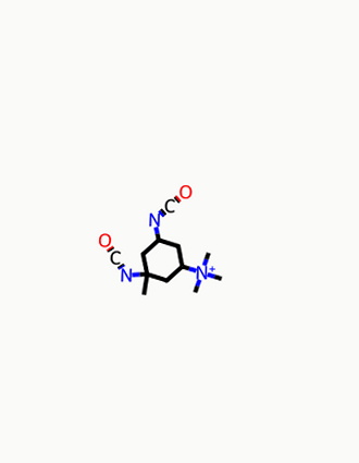 CC1(N=C=O)CC(N=C=O)CC([N+](C)(C)C)C1